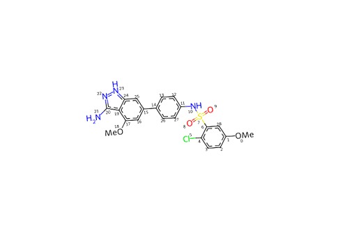 COc1ccc(Cl)c(S(=O)(=O)Nc2ccc(-c3cc(OC)c4c(N)n[nH]c4c3)cc2)c1